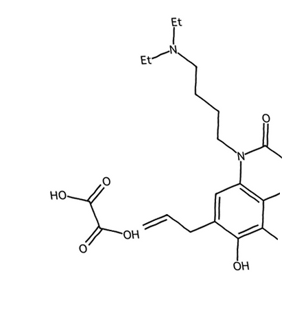 C=CCc1cc2c(c(CC=C)c1O)CCC(=O)N2CCCCN(CC)CC.O=C(O)C(=O)O